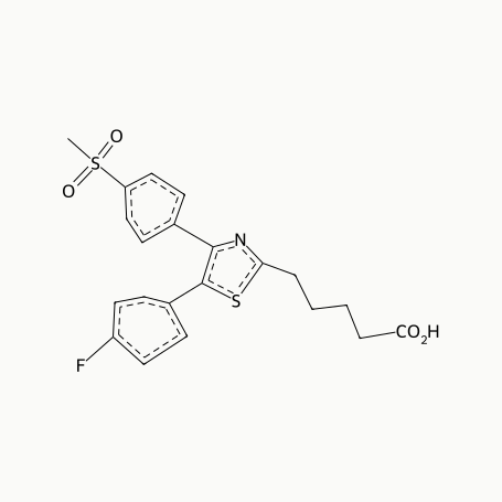 CS(=O)(=O)c1ccc(-c2nc(CCCCC(=O)O)sc2-c2ccc(F)cc2)cc1